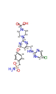 NS(=O)(=O)Cc1ccc(Oc2cc(CNc3ncc(Cl)cn3)nc(N3CCN(C(=O)O)CC3)n2)cc1